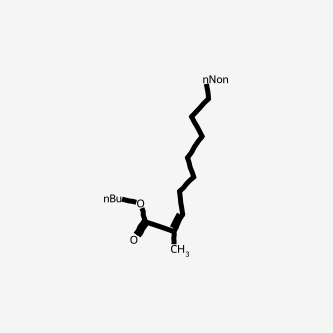 CCCCCCCCCCCCCCCC=C(C)C(=O)OCCCC